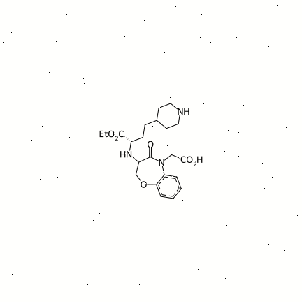 CCOC(=O)[C@H](CCC1CCNCC1)NC1COc2ccccc2N(CC(=O)O)C1=O